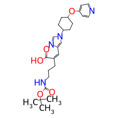 CC(C)(C)OC(=O)NCCCC(=Cc1cn(C2CCC(Oc3ccncc3)CC2)cn1)C(=O)O